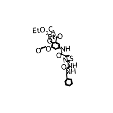 CCOC(=O)COC(=O)c1cc(NC(=O)c2csc(NC(=O)NCc3ccccc3)n2)cc(OC=C=O)c1OCC